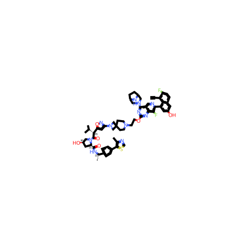 C#Cc1c(F)ccc2cc(O)cc(-c3ncc4c(N5CC6CCC(C5)N6)nc(OCCN5CCC6(CC5)CN(c5cc([C@H](C(=O)N7C[C@H](O)C[C@H]7C(=O)N[C@@H](C)c7ccc(-c8scnc8C)cc7)C(C)C)on5)C6)nc4c3F)c12